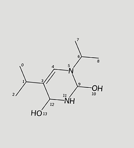 CC(C)C1=CN(C(C)C)C(O)NC1O